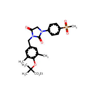 CCOC(=O)C(C)(C)Oc1c(C)cc(CN2C(=O)CN(c3ccc(S(C)(=O)=O)cc3)C2=O)cc1C